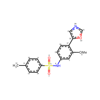 COc1cc(NS(=O)(=O)c2ccc(C)cc2)ccc1-c1cnco1